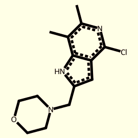 Cc1nc(Cl)c2cc(CN3CCOCC3)[nH]c2c1C